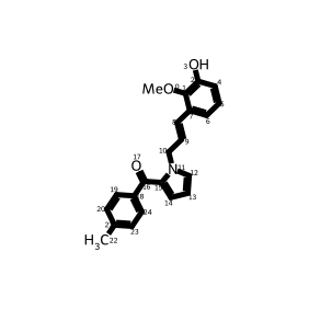 COc1c(O)cccc1C=CCn1cccc1C(=O)c1ccc(C)cc1